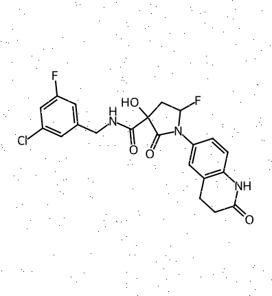 O=C1CCc2cc(N3C(=O)C(O)(C(=O)NCc4cc(F)cc(Cl)c4)CC3F)ccc2N1